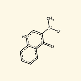 C[S+]([O-])c1c[nH]c2ccccc2c1=O